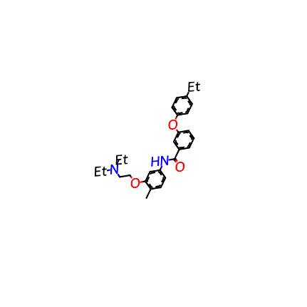 CCN(CC)CCOc1cc(NC(=O)c2cccc(Oc3ccc([11CH2]C)cc3)c2)ccc1C